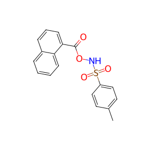 Cc1ccc(S(=O)(=O)NOC(=O)c2cccc3ccccc23)cc1